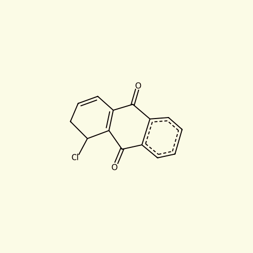 O=C1C2=C(C(=O)c3ccccc31)C(Cl)CC=C2